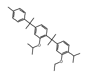 CCOc1cc(C(C)(C)c2ccc(C(C)(C)c3ccc(C)cc3)cc2OC(C)C)ccc1C(C)C